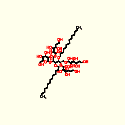 CCCCCCCCCCCCCCO[C@H]([C@@H](OCCCCCCCCCCCCCC)[C@H](CO[C@H](O)/C(O)=C(\O)[C@H](O)CCO)O[C@H](O)/C(O)=C(/O)[C@H](O)CCO)[C@H](CO[C@H](O)/C(O)=C(/O)[C@H](O)CCO)O[C@@H]1OC(CO)[C@@H](O)C(O)C1O